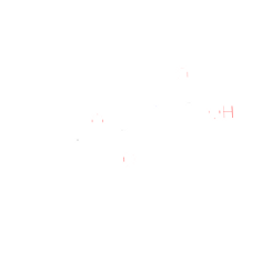 CCC1(OC(=O)/C=C/C(=O)O)CCCC1